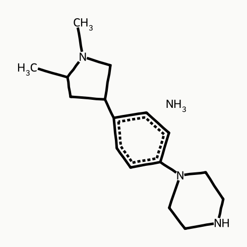 CC1CC(c2ccc(N3CCNCC3)cc2)CN1C.N